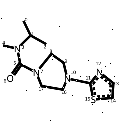 CC(C)N(C)C(=O)N1CCN(c2nccs2)CC1